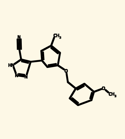 COc1cccc(COc2cc(C)cc(-c3nn[nH]c3C#N)c2)c1